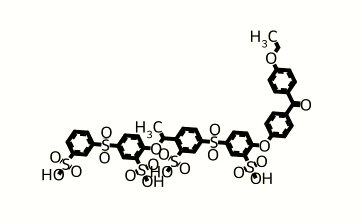 CCOc1ccc(C(=O)c2ccc(Oc3ccc(S(=O)(=O)c4ccc(C(C)Oc5ccc(S(=O)(=O)c6cccc(S(=O)(=O)O)c6)cc5S(=O)(=O)O)c(S(=O)(=O)O)c4)cc3S(=O)(=O)O)cc2)cc1